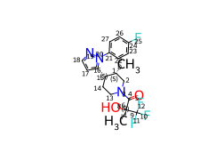 C[C@@H]1CN(C(=O)[C@@](C)(O)C(F)(F)F)CC[C@@H]1c1ccnn1-c1ccc(F)cc1